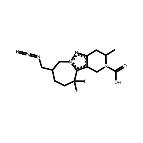 CC1Cc2nn3c(c2CN1C(=O)O)C(F)(F)CCC(CN=[N+]=[N-])C3